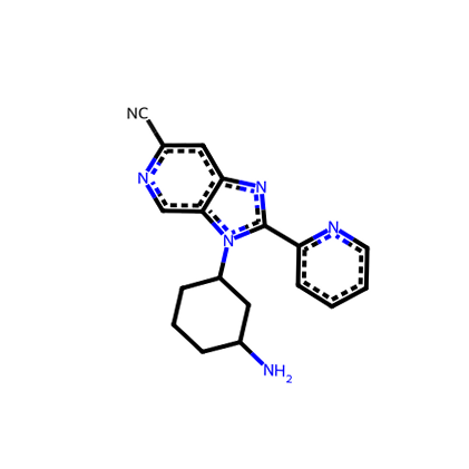 N#Cc1cc2nc(-c3ccccn3)n(C3CCCC(N)C3)c2cn1